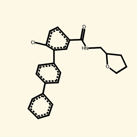 O=C(NCC1CCCO1)c1ccc(Cl)c(-c2ccc(-c3ccccc3)cc2)c1